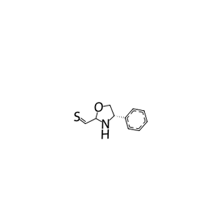 S=CC1N[C@@H](c2ccccc2)CO1